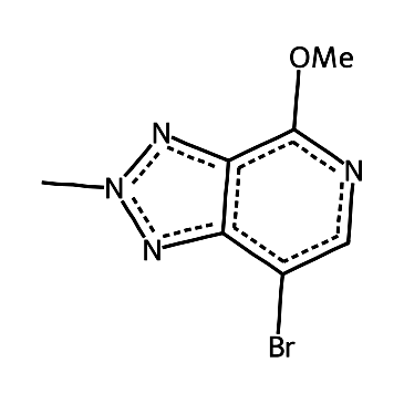 COc1ncc(Br)c2nn(C)nc12